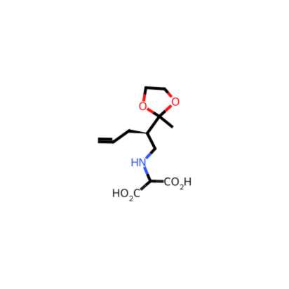 C=CC[C@H](CNC(C(=O)O)C(=O)O)C1(C)OCCO1